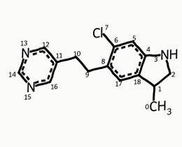 CC1CNc2cc(Cl)c(CCc3cncnc3)cc21